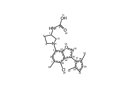 Cc1cc(N2CCC(NC(=O)O)C2)c2onc(-n3c(C)ccc3C)c2c1Cl